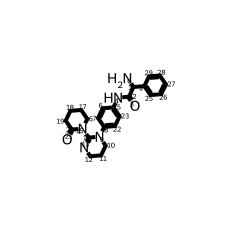 NC(C(=O)Nc1ccc(N2CCCN=C2N2CCCCC2=O)cc1)c1ccccc1